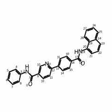 O=C(Nc1ccccc1)c1ccc(-c2ccc(C(=O)Nc3cccc4ccccc34)cc2)nc1